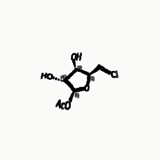 CC(=O)O[C@@H]1O[C@H](CCl)[C@@H](O)[C@H]1O